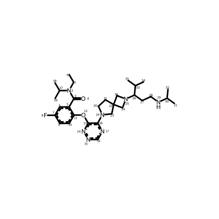 CCN(C(=O)c1cc(F)ccc1Oc1nncnc1N1CCC2(C1)CN(C(CCNC(C)C)C(C)C)C2)C(C)C